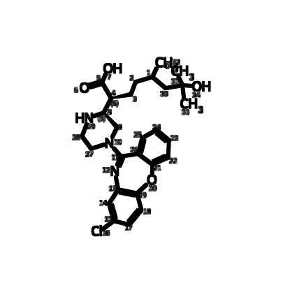 CC(CC[C@H](C(=O)O)[C@H]1CN(C2=Nc3cc(Cl)ccc3Oc3ccccc32)CCN1)CC(C)(C)O